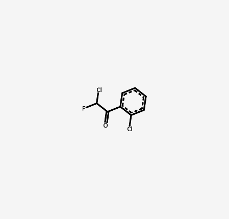 O=C(c1ccccc1Cl)C(F)Cl